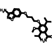 COc1c(OCCCOc2ccc3c(N)noc3c2)c(C(C)C)cc(C(N)=O)c1C(C)C